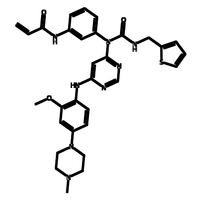 C=CC(=O)Nc1cccc(N(C(=O)NCc2cccs2)c2cc(Nc3ccc(N4CCN(C)CC4)cc3OC)ncn2)c1